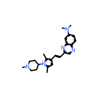 Cc1cc(C=Cc2cnc3ccc(N(C)C)cc3n2)c(C)n1C1CCN(C)CC1